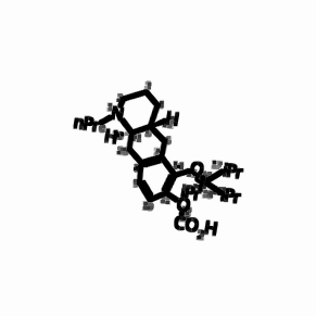 CCCN1CCC[C@@H]2Cc3c(ccc(OC(=O)O)c3O[Si](C(C)C)(C(C)C)C(C)C)C[C@H]21